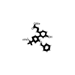 CCCCCCC(C)(C)c1ccc(C2CC(O)CCC2C=CC(=O)OC)c(OCc2ccccc2)c1